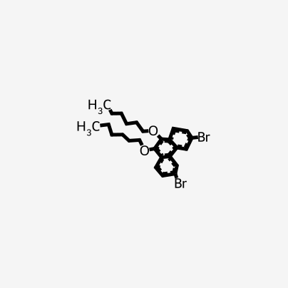 CCCCCCOc1c(OCCCCCC)c2ccc(Br)cc2c2cc(Br)ccc12